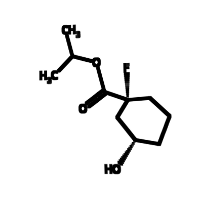 CC(C)OC(=O)[C@@]1(F)CCC[C@H](O)C1